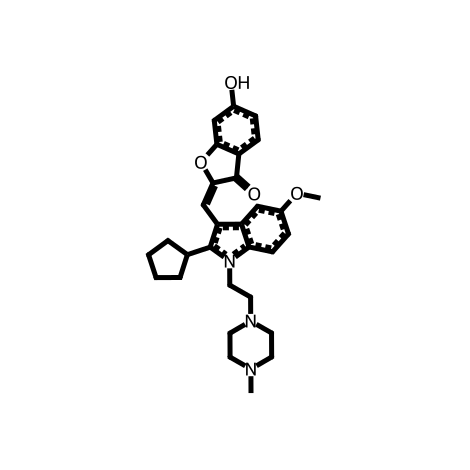 COc1ccc2c(c1)c(C=C1Oc3cc(O)ccc3C1=O)c(C1CCCC1)n2CCN1CCN(C)CC1